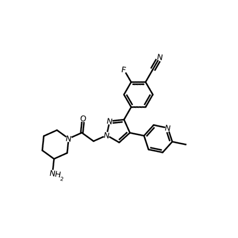 Cc1ccc(-c2cn(CC(=O)N3CCCC(N)C3)nc2-c2ccc(C#N)c(F)c2)cn1